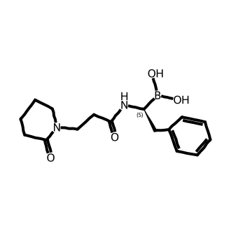 O=C(CCN1CCCCC1=O)N[C@H](Cc1ccccc1)B(O)O